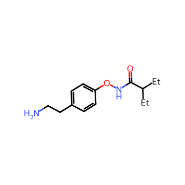 CCC(CC)C(=O)NOc1ccc(CCN)cc1